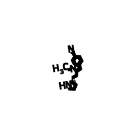 CCn1c(CC[C@@H]2CCCN2)cc2ccc(C#N)cc21